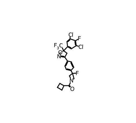 O=C(C1CCC1)N1CC(F)(c2ccc(C3=NOC(c4cc(Cl)c(F)c(Cl)c4)(C(F)(F)F)C3)cc2)C1